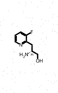 N[C@@H](CO)Cc1ncccc1F